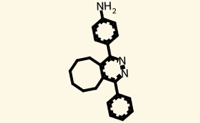 Nc1ccc(-c2nnc(-c3ccccc3)c3c2CCCCCC3)cc1